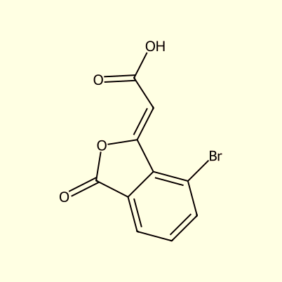 O=C(O)/C=C1\OC(=O)c2cccc(Br)c21